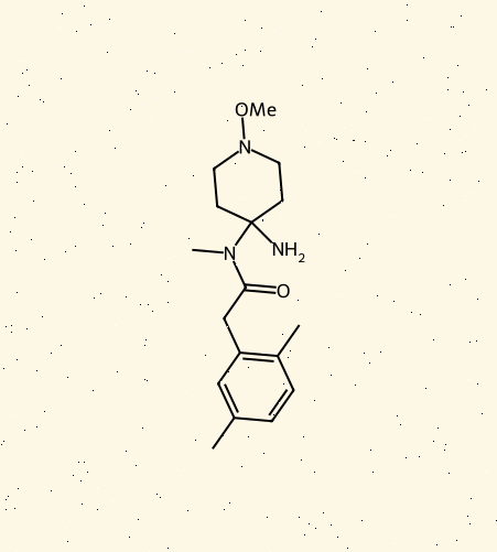 CON1CCC(N)(N(C)C(=O)Cc2cc(C)ccc2C)CC1